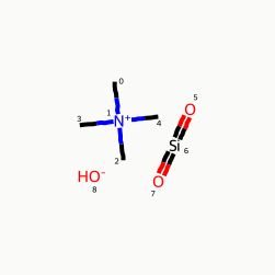 C[N+](C)(C)C.O=[Si]=O.[OH-]